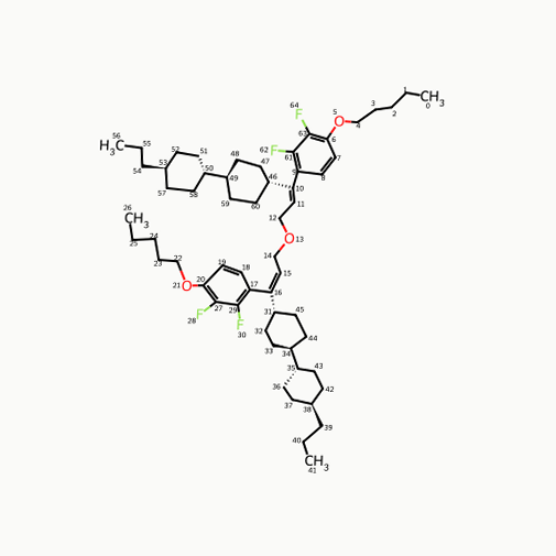 CCCCCOc1ccc(C(=CCOCC=C(c2ccc(OCCCCC)c(F)c2F)[C@H]2CC[C@H]([C@H]3CC[C@H](CCC)CC3)CC2)[C@H]2CC[C@H]([C@H]3CC[C@H](CCC)CC3)CC2)c(F)c1F